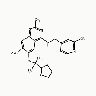 COc1cc2nc(C)nc(NCc3ccnc(C(F)(F)F)c3)c2cc1OC(C)(C)C1CCCO1